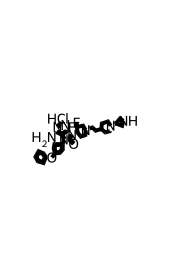 Cl.Nc1ncnc2c1n(-c1ccc(Oc3ccccc3)cc1)c(=O)n2[C@@H]1CCN(CCC2CCN(C3CNC3)CC2)CC1(F)F